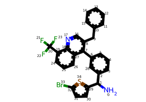 NC(c1cccc(-c2c(Cc3ccccc3)cnc3c(C(F)(F)F)cccc23)c1)c1ccc(Br)s1